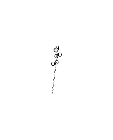 CCCCCCCCCCCCCCCC(=O)OCCOC(=O)c1cccnc1